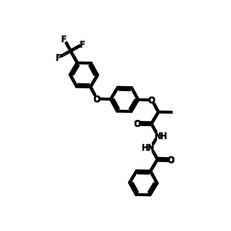 CC(Oc1ccc(Oc2ccc(C(F)(F)F)cc2)cc1)C(=O)NNC(=O)c1ccccc1